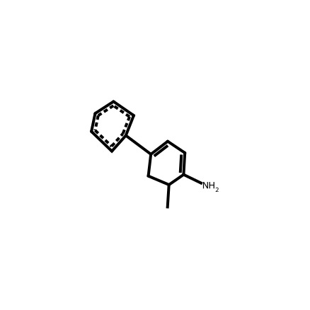 CC1CC(c2ccccc2)=CC=C1N